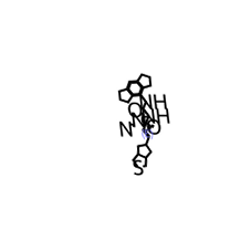 N#CN=S(=O)(/C=C/C1CC2CSCC2C1)NC(=O)Nc1c2c(cc3c1CCC3)CCC2